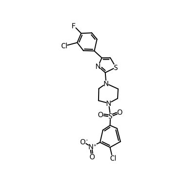 O=[N+]([O-])c1cc(S(=O)(=O)N2CCN(c3nc(-c4ccc(F)c(Cl)c4)cs3)CC2)ccc1Cl